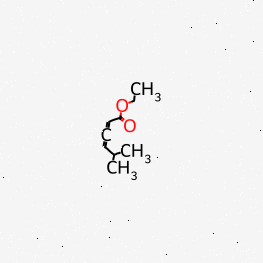 CCOC(=O)C=C=CC(C)C